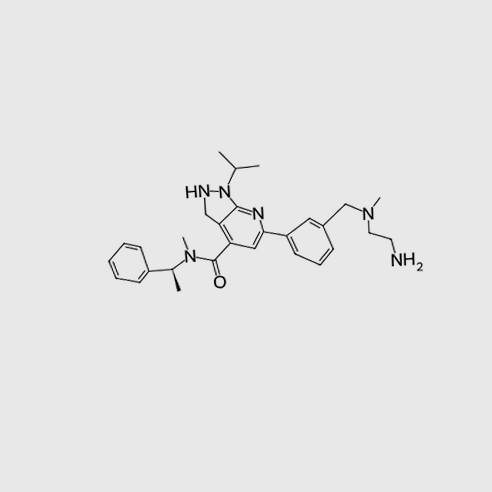 CC(C)N1NCc2c(C(=O)N(C)[C@@H](C)c3ccccc3)cc(-c3cccc(CN(C)CCN)c3)nc21